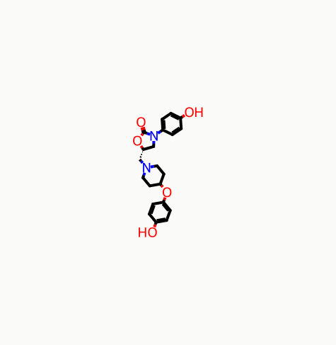 O=C1O[C@@H](CN2CCC(Oc3ccc(O)cc3)CC2)CN1c1ccc(O)cc1